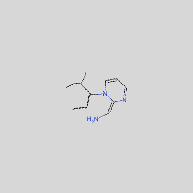 CCC(C(C)C)N1C=CC=N/C1=C/N